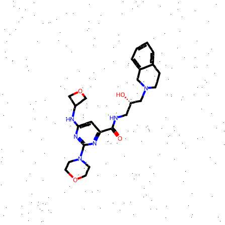 O=C(NC[C@H](O)CN1CCc2ccccc2C1)c1cc(NC2COC2)nc(N2CCOCC2)n1